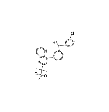 CC(C)(c1cc(-c2cccc(C(S)c3cccc(Cl)c3)c2)c2ncccc2c1)S(C)(=O)=O